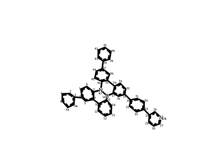 c1ccc(-c2ccc3c(c2)-c2ccccc2B2c4cc(-c5ccc(-c6cccnc6)cc5)ccc4-c4cc(-c5ccccc5)ccc4N23)cc1